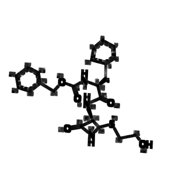 O=C(N[C@@H](Cc1ccccc1)C(=O)N[C@@H]1C(=O)NC1SCCO)OCc1ccccc1